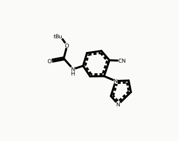 CC(C)(C)OC(=O)Nc1ccc(C#N)c(-n2ccnc2)c1